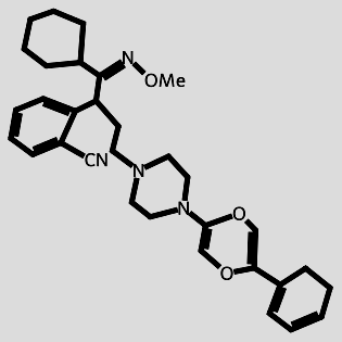 CON=C(C1CCCCC1)C(CCN1CCN(C2=COC(C3=CC=CCC3)=CO2)CC1)c1ccccc1C#N